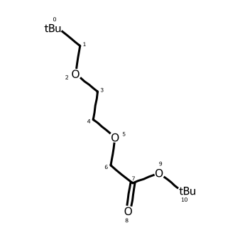 CC(C)(C)COCCOCC(=O)OC(C)(C)C